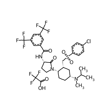 CC(C)N(C)[C@@H]1CC[C@H](N2CC[C@H](NC(=O)c3cc(C(F)(F)F)cc(C(F)(F)F)c3)C2=O)[C@H](CS(=O)(=O)c2ccc(Cl)cc2)C1.O=C(O)C(F)(F)F